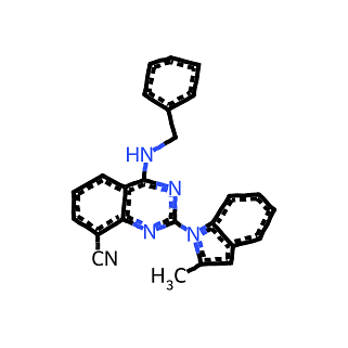 Cc1cc2ccccc2n1-c1nc(NCc2ccccc2)c2cccc(C#N)c2n1